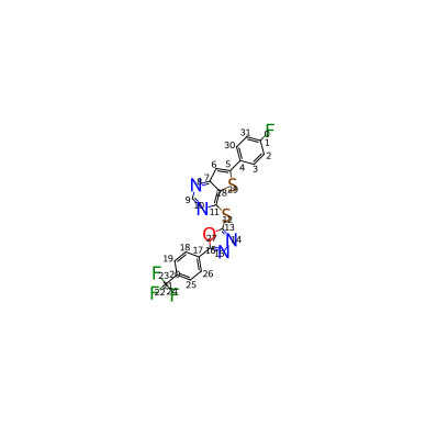 Fc1ccc(-c2cc3ncnc(Sc4nnc(-c5ccc(C(F)(F)F)cc5)o4)c3s2)cc1